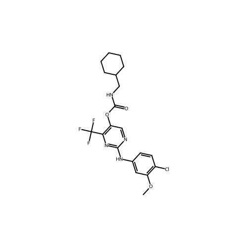 COc1cc(Nc2ncc(OC(=O)NCC3CCCCC3)c(C(F)(F)F)n2)ccc1Cl